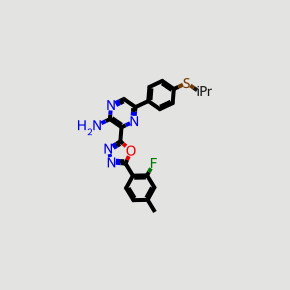 Cc1ccc(-c2nnc(-c3nc(-c4ccc(SC(C)C)cc4)cnc3N)o2)c(F)c1